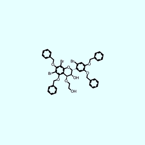 OCCO[C@H]1c2c(OCc3ccccc3)c(Br)c(OCc3ccccc3)c(Br)c2O[C@H](c2cc(OCc3ccccc3)c(OCc3ccccc3)cc2Br)[C@H]1O